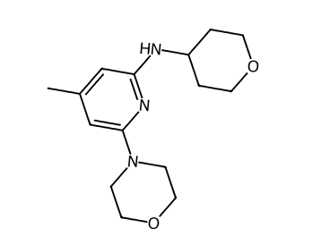 Cc1cc(NC2CCOCC2)nc(N2CCOCC2)c1